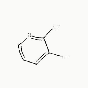 CCCc1cccnc1C(F)(F)F